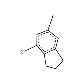 Cc1cc(Cl)c2c(c1)CCC2